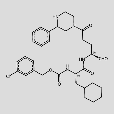 O=C[C@H](CCC(=O)N1CCNC(c2ccccc2)C1)NC(=O)[C@H](CC1CCCCC1)NC(=O)OCc1cccc(Cl)c1